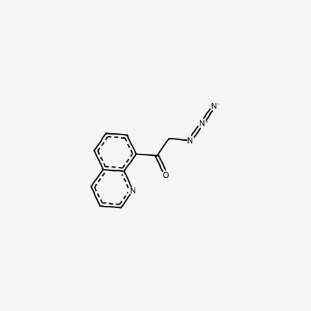 [N-]=[N+]=NCC(=O)c1cccc2cccnc12